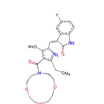 COCc1[nH]c(/C=C2\C(=O)Nc3ccc(F)cc32)c(OC)c1C(=O)N1CCOCCOCCOCC1